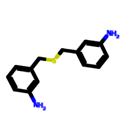 Nc1cccc(CSCc2cccc(N)c2)c1